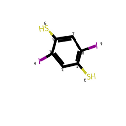 Sc1cc(I)c(S)cc1I